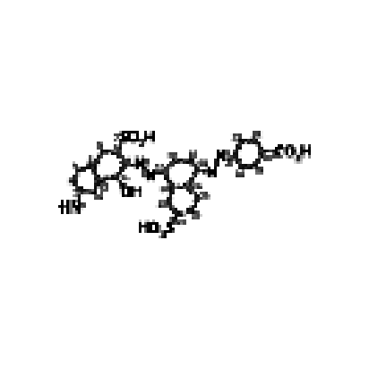 [NH]c1ccc2cc(S(=O)(=O)O)c(N=Nc3ccc(N=Nc4ccc(C(=O)O)cc4)c4ccc(S(=O)(=O)O)cc34)c(O)c2c1